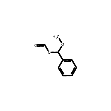 COC(O[C]=O)c1ccccc1